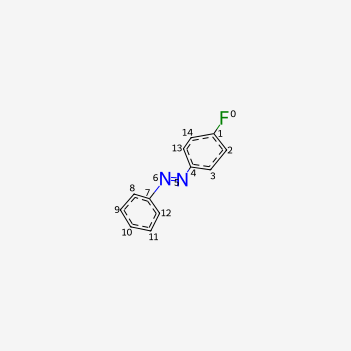 Fc1ccc(N=Nc2ccccc2)cc1